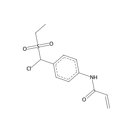 C=CC(=O)Nc1ccc(C(Cl)S(=O)(=O)CC)cc1